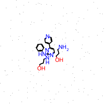 CN1C(c2ccncc2)=CC=NC1(NCCCO)Nc1ccccc1.NCCCO